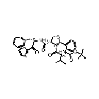 CC(C)[C@H](NC(=O)OC(C)(C)C)C(=O)N1C(c2ccccc2)SC[C@H]1C(=O)N[C@@H](Cc1ccccc1)C(=O)c1nccs1